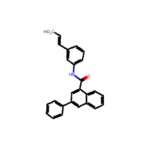 O=C(O)C=Cc1cccc(NC(=O)c2cc(-c3ccccc3)cc3ccccc23)c1